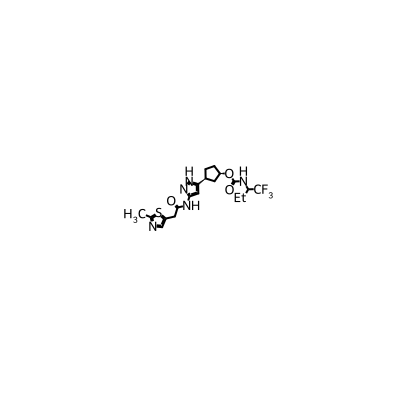 CCC(NC(=O)O[C@@H]1CC[C@H](c2cc(NC(=O)Cc3cnc(C)s3)n[nH]2)C1)C(F)(F)F